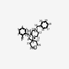 Fc1ccccc1NCC1(N2CCN(Cc3ccccc3)CC2)CCOCC1